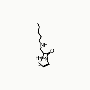 CCCCCNCC1C(=O)N2C=CS[C@@H]12